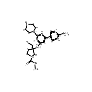 CC(C)(C)OC(=O)N1CCC(CF)(Nc2cc(-c3cnc(N)nc3)nc(N3CCOCC3)n2)C1